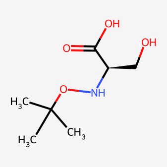 CC(C)(C)ON[C@H](CO)C(=O)O